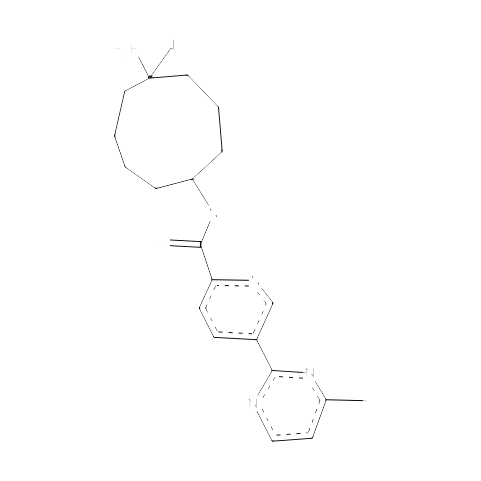 BC1(I)CCCCC(NC(=O)c2ccc(-c3nccc(I)n3)cn2)CCC1